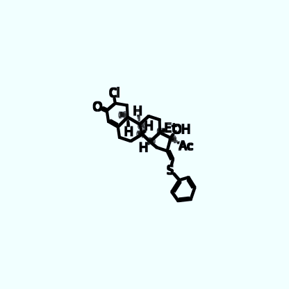 CC[C@]12CC[C@H]3[C@@H](CCC4=CC(=O)C(Cl)C[C@@H]43)[C@@H]1CC(=CSc1ccccc1)[C@@]2(O)C(C)=O